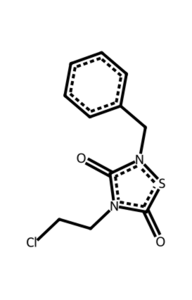 O=c1sn(Cc2ccccc2)c(=O)n1CCCl